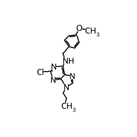 CCCn1cnc2c(NCc3ccc(OC)cc3)nc(Cl)nc21